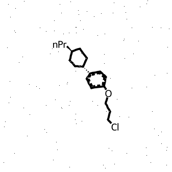 CCC[C@H]1CC[C@H](c2ccc(OCCCCl)cc2)CC1